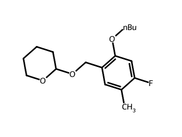 CCCCOc1cc(F)c(C)cc1COC1CCCCO1